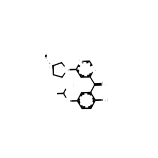 CO[C@@H]1CCN(c2cc(C(=N)c3cc(OC(C)C)ccc3N)ncn2)C1